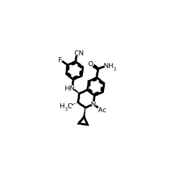 CC(=O)N1c2ccc(C(N)=O)cc2[C@H](Nc2ccc(C#N)c(F)c2)[C@@H](C)[C@@H]1C1CC1